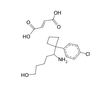 NC(CCCCO)C1(c2ccc(Cl)cc2)CCC1.O=C(O)C=CC(=O)O